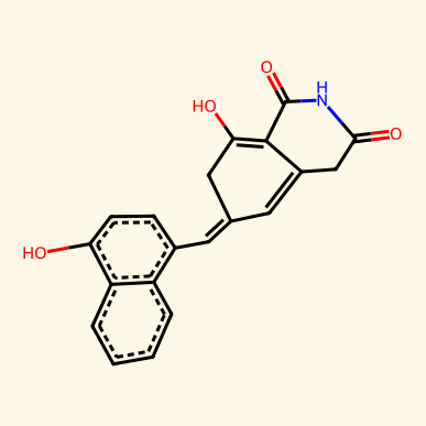 O=C1CC2=CC(=Cc3ccc(O)c4ccccc34)CC(O)=C2C(=O)N1